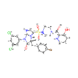 C[C@@]1(Cc2ccc(Br)cc2)C(=O)N(c2cc(Cl)cc(Cl)c2)c2ncc(S(=O)(=O)N3CCN(C(=O)c4ncccc4O)CC3)n21